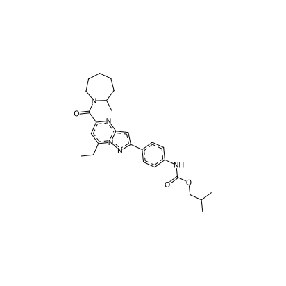 CCc1cc(C(=O)N2CCCCCC2C)nc2cc(-c3ccc(NC(=O)OCC(C)C)cc3)nn12